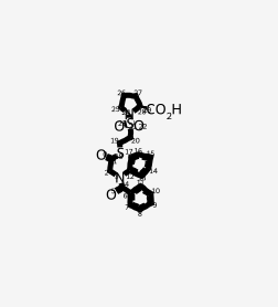 O=C(CN(C(=O)c1ccccc1)c1ccccc1)SCCS(=O)(=O)N1CCC[C@H]1C(=O)O